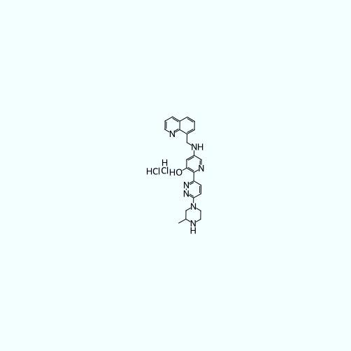 CC1CN(c2ccc(-c3ncc(NCc4cccc5cccnc45)cc3O)nn2)CCN1.Cl.Cl